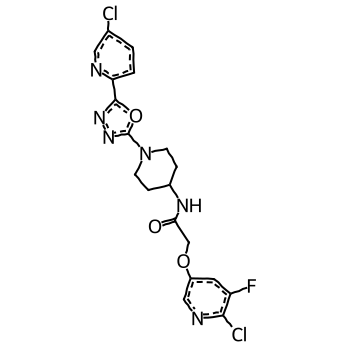 O=C(COc1cnc(Cl)c(F)c1)NC1CCN(c2nnc(-c3ccc(Cl)cn3)o2)CC1